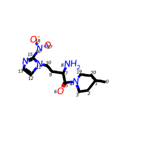 CC1CCN(C(=O)C(N)CCn2ccnc2[N+](=O)[O-])CC1